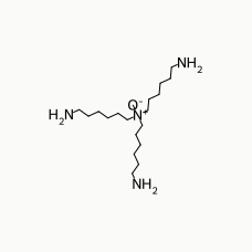 NCCCCCC[N+]([O-])(CCCCCCN)CCCCCCN